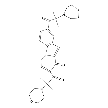 CC(C)(C(=O)C1=CC=C2C(=Cc3cc(C(=O)C(C)(C)N4CCOCC4)ccc32)C1=O)N1CCOCC1